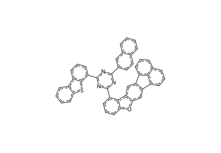 c1ccc2cc(-c3nc(-c4cccc5c4sc4ccccc45)nc(-c4cccc5oc6cc7c(cc6c45)-c4cccc5cccc-7c45)n3)ccc2c1